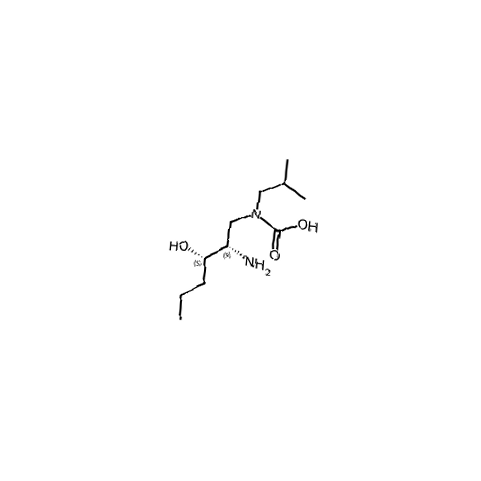 CCC[C@H](O)[C@@H](N)CN(CC(C)C)C(=O)O